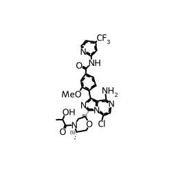 COc1cc(C(=O)Nc2cc(C(F)(F)F)ccn2)ccc1-c1nc([C@H]2CN(C(=O)C(C)O)[C@@H](C)CO2)n2c(Cl)cnc(N)c12